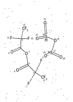 O=C(OC(=O)C(F)(F)C(F)(F)F)C(F)(F)C(F)(F)F.O=[SH](=O)O[SH](=O)=O